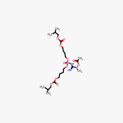 CC(=O)ON(C)C(=N)NP(=O)(OCCCCOC(=O)OCC(C)C)OCCCCOC(=O)OCC(C)C